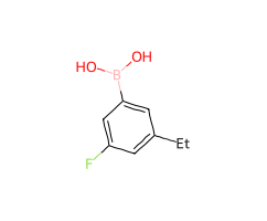 CCc1cc(F)cc(B(O)O)c1